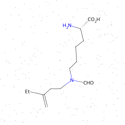 C=C(CC)CCN(C=O)CCCC[C@H](N)C(=O)O